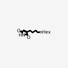 CCCCCCCCCCC1=CC(=O)NC1=O